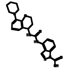 O=C(Nc1cccc2c1cnn2C(=O)O)NC1CCOc2c1cccc2N1CCCCC1